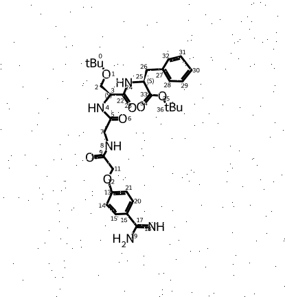 CC(C)(C)OC[C@H](NC(=O)CNC(=O)COc1ccc(C(=N)N)cc1)C(=O)N[C@@H](Cc1ccccc1)C(=O)OC(C)(C)C